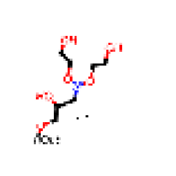 CCCCCCCCOCC(O)CN(OCCO)OCCO